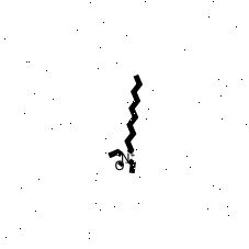 CCCCCCCCCC[N+]([O-])(CC)CC